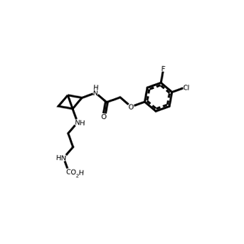 O=C(O)NCCNC12CC1C2NC(=O)COc1ccc(Cl)c(F)c1